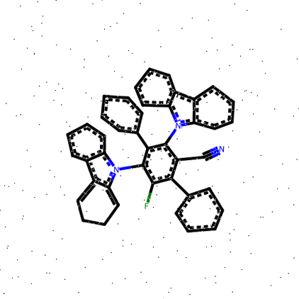 N#Cc1c(-c2ccccc2)c(F)c(-n2c3c(c4ccccc42)=CCCC=3)c(-c2ccccc2)c1-n1c2ccccc2c2ccccc21